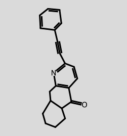 O=C1c2ccc(C#Cc3ccccc3)nc2CC2CCCCC12